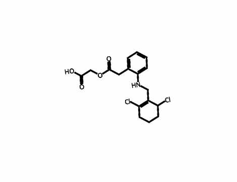 O=C(O)COC(=O)Cc1ccccc1NCC1=C(Cl)CCCC1Cl